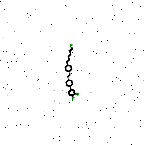 FC=CCCCC[C@H]1CC[C@H](CC[C@H]2CC[C@H](c3ccc(F)c(F)c3)CC2)CC1